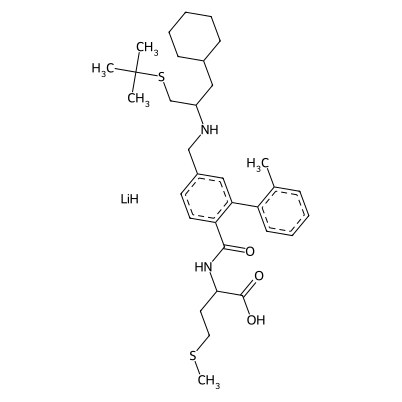 CSCCC(NC(=O)c1ccc(CNC(CSC(C)(C)C)CC2CCCCC2)cc1-c1ccccc1C)C(=O)O.[LiH]